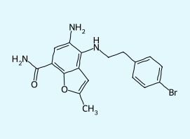 Cc1cc2c(NCCc3ccc(Br)cc3)c(N)cc(C(N)=O)c2o1